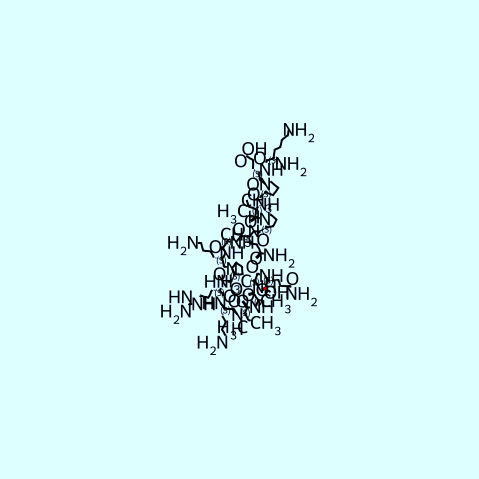 CC(C)[C@H](NC(=O)[C@H](CCCCN)NC(=O)[C@H](CCCNC(=N)N)NC(=O)[C@@H]1CCCN1C(=O)[C@H](CCCCN)NC(=O)[C@@H](C)NC(=O)[C@H](CCC(N)=O)NC(=O)[C@@H]1CCCN1C(=O)[C@@H](NC(=O)[C@@H]1CCCN1C(=O)[C@H](CCC(=O)O)NC(=O)[C@@H](N)CCCCN)C(C)C)C(=O)N[C@@H](C)C(=O)N[C@@H](C)C(=O)N[C@@H](CCC(N)=O)C(=O)O